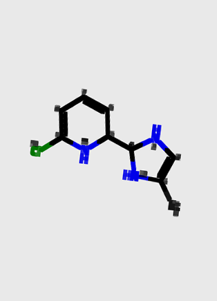 CCC1=CNC(C2C=CC=C(Cl)N2)N1